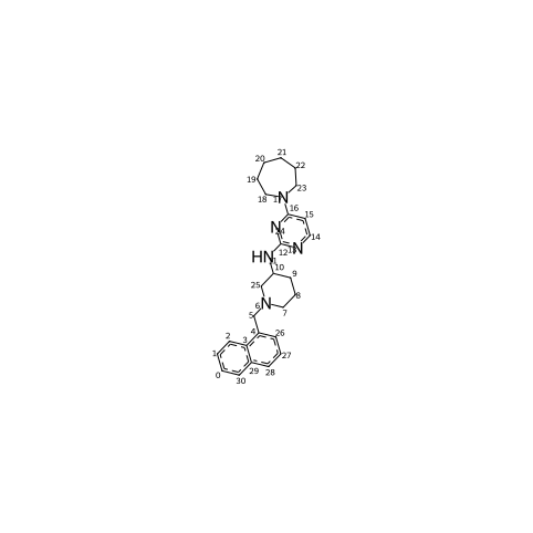 c1ccc2c(CN3CCCC(Nc4nccc(N5CCCCCC5)n4)C3)cccc2c1